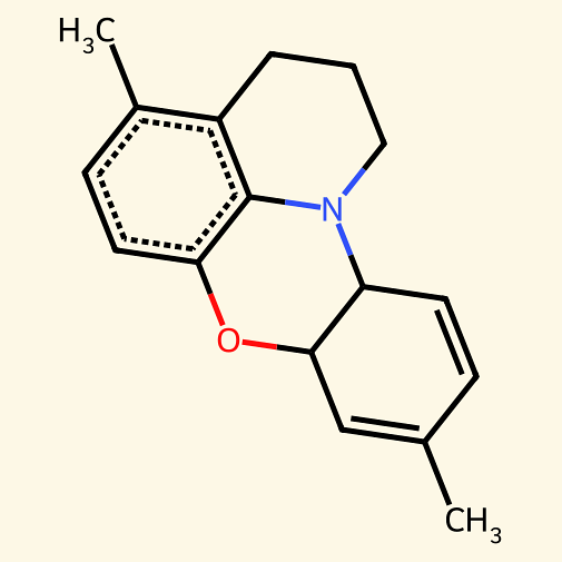 CC1=CC2Oc3ccc(C)c4c3N(CCC4)C2C=C1